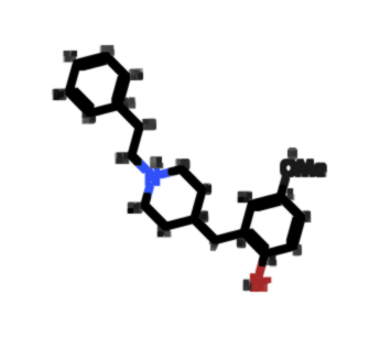 COc1ccc(Br)c(CC2CCN(CCc3ccccc3)CC2)c1